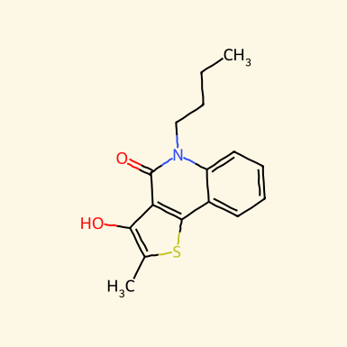 CCCCn1c(=O)c2c(O)c(C)sc2c2ccccc21